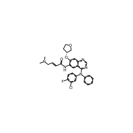 CN(C)CC=CC(=O)Nc1cc2c(N(c3ccccc3)c3ccc(F)c(Cl)c3)ncnc2cc1O[C@@H]1CCOC1